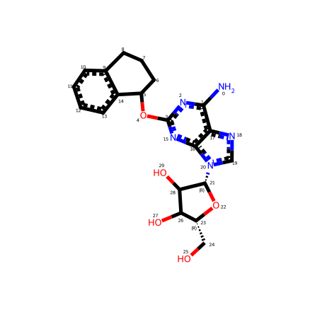 Nc1nc(OC2CCCc3ccccc32)nc2c1ncn2[C@@H]1O[C@H](CO)C(O)C1O